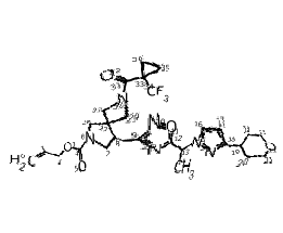 C=CCOC(=O)N1C[C@H](c2noc(C(C)n3ccc(C4CCOCC4)n3)n2)C2(C1)CN(C(=O)C1(C(F)(F)F)CC1)C2